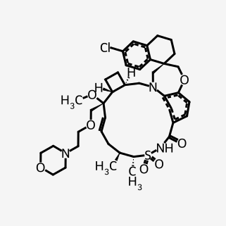 CO[C@@]1(COCCN2CCOCC2)/C=C/C[C@H](C)[C@@H](C)S(=O)(=O)NC(=O)c2ccc3c(c2)N(C[C@@H]2CC[C@H]21)C[C@@]1(CCCc2cc(Cl)ccc21)CO3